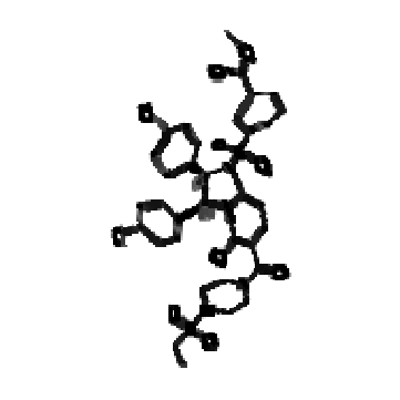 CCS(=O)(=O)N1CCN(C(=O)c2ccc3n(c2=O)[C@@H](c2ccc(Cl)cc2)[C@@H](c2ccc(Cl)cc2)N3S(=O)(=O)c2cccc(C(=O)OC)c2)CC1